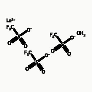 O.O=S(=O)([O-])C(F)(F)F.O=S(=O)([O-])C(F)(F)F.O=S(=O)([O-])C(F)(F)F.[La+3]